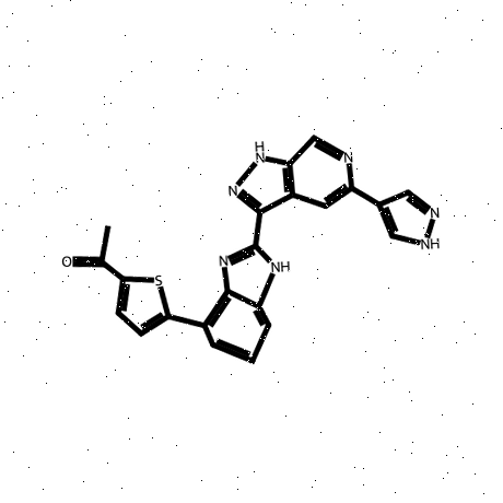 CC(=O)c1ccc(-c2cccc3[nH]c(-c4n[nH]c5cnc(-c6cn[nH]c6)cc45)nc23)s1